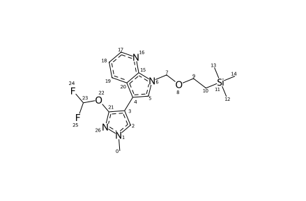 Cn1cc(-c2cn(COCC[Si](C)(C)C)c3ncccc23)c(OC(F)F)n1